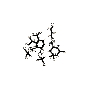 CC(C)c1ccc(OOC(C)(C)C)c(OOC(C)(C)C)c1C(C)C.CCCCOOC1CC(C)CC(C)(C)C1